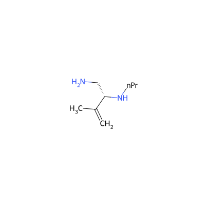 C=C(C)[C@H](CN)NCCC